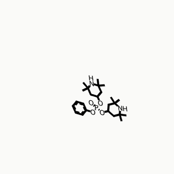 CC1(C)CC(OP(=O)(Oc2ccccc2)OC2CC(C)(C)NC(C)(C)C2)CC(C)(C)N1